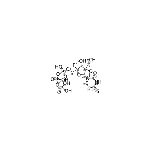 C#C[C@@]1(O)C(O)[C@@](F)(COP(=O)(O)OP(=O)(O)OP(=O)(O)O)O[C@H]1n1ccc(=S)[nH]c1=O